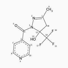 CC1=NN(C(=O)c2ccncc2)C(O)(C(F)(F)F)C1